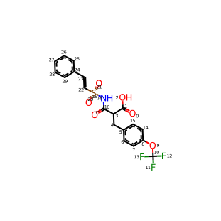 O=C(O)C(Cc1ccc(OC(F)(F)F)cc1)C(=O)NS(=O)(=O)/C=C/c1ccccc1